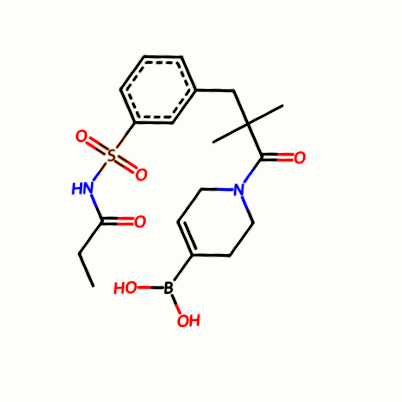 CCC(=O)NS(=O)(=O)c1cccc(CC(C)(C)C(=O)N2CC=C(B(O)O)CC2)c1